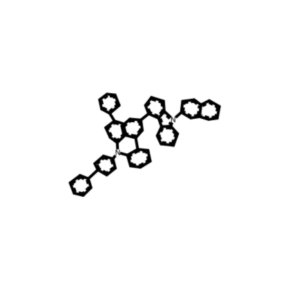 c1ccc(-c2ccc(N(c3ccc(-c4ccccc4)cc3)c3ccccc3-c3cccc(-c4cccc5c4c4ccccc4n5-c4ccc5ccccc5c4)c3)cc2)cc1